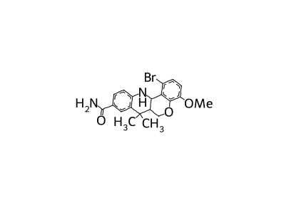 COc1ccc(Br)c2c1OCC1C2Nc2ccc(C(N)=O)cc2C1(C)C